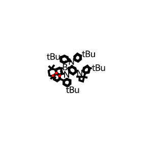 CC(C)(C)c1ccc(N2c3ccc(C(C)(C)C)cc3B3c4cc5c(cc4N(c4ccc(C(C)(C)C)cc4-c4ccccc4)c4cc(N6c7ccc(C(C)(C)C)cc7C7(C)CCC67C)cc2c43)C(C)(C)CCC5(C)C)cc1